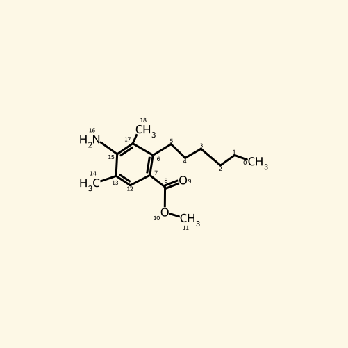 CCCCCCc1c(C(=O)OC)cc(C)c(N)c1C